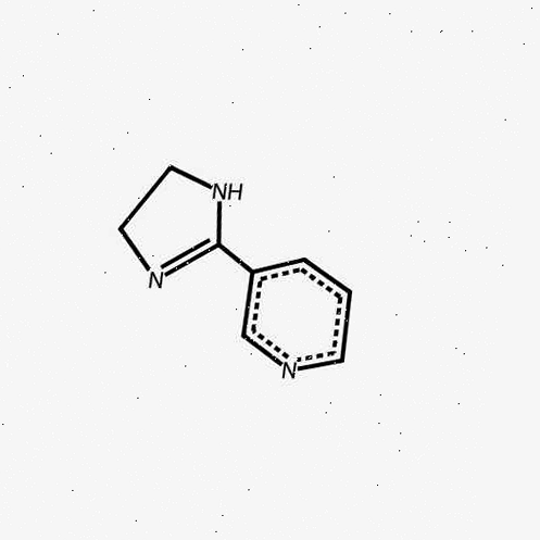 c1cncc(C2=NCCN2)c1